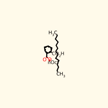 CCCCCCCCCCCCCC.CCCCCCCCOC(=O)c1ccccc1C(=O)O